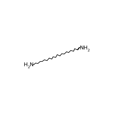 NC=CCCCCCCCCCCCCCCCCCCCCN